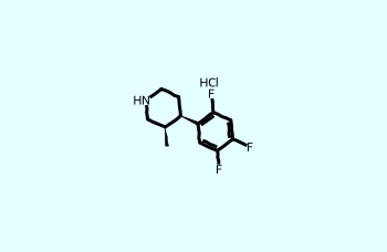 C[C@H]1CNCC[C@H]1c1cc(F)c(F)cc1F.Cl